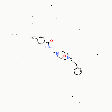 N#Cc1ccc(C(=O)NCCN2CC3CN(CCCc4ccccc4)CC(C2)O3)cc1